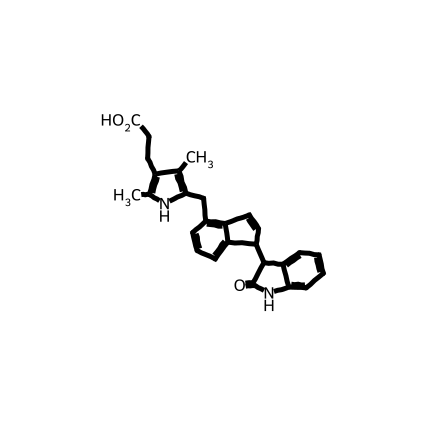 Cc1[nH]c(Cc2cccc3c2C=CC3C2C(=O)Nc3ccccc32)c(C)c1CCC(=O)O